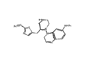 CC(=O)Nc1ccc2c(c1)N(N1CCNCC1Cc1cnc(NC(C)=O)s1)CC=N2